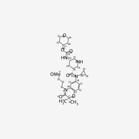 COCCCN1C(=O)C(C)(C)Oc2ccc(N(C(=O)[C@H]3CNC[C@@H](NC(=O)OC4CCOCC4)C3)C3CC3)cc21